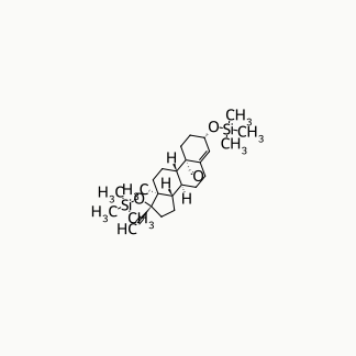 C#C[C@]1(O[Si](C)(C)C)CC[C@H]2[C@@H]3CCC4=C[C@@H](O[Si](C)(C)C)CC[C@]4(C=O)[C@H]3CC[C@@]21C